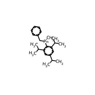 CC(C)c1cc(C(C)C)c([P@@](C)Cc2ccccc2)c(C(C)C)c1